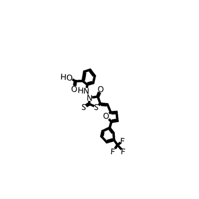 O=C(O)c1ccccc1NN1C(=O)C(=Cc2ccc(-c3cccc(C(F)(F)F)c3)o2)SC1=S